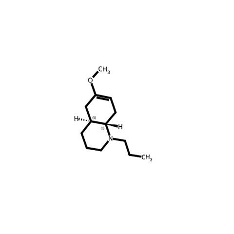 CCCN1CCC[C@H]2CC(OC)=CC[C@@H]21